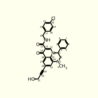 CN1CC(c2ccccc2)n2cc(C(=O)NCc3ccc(Cl)cc3)c(=O)c3cc(C#CCO)cc1c32